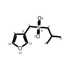 CC(C)CS(=O)(=O)Cc1ccoc1